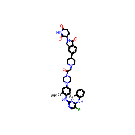 COc1cc(N2CCN(C(=O)CN3CCC(c4ccc5c(c4)CN(C4CCC(=O)NC4=O)C5=O)CC3)CC2)ccc1Nc1ncc(Br)c(Nc2ccccc2C(C)=O)n1